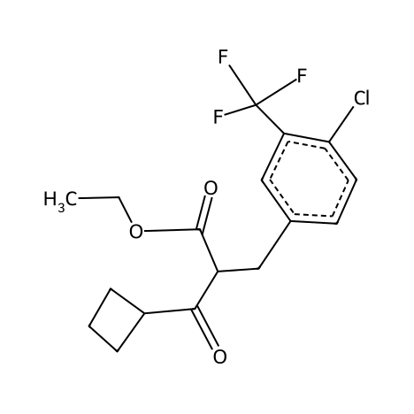 CCOC(=O)C(Cc1ccc(Cl)c(C(F)(F)F)c1)C(=O)C1CCC1